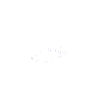 CS(=O)(=O)N[C@H]1CCN2CCOc3ccccc3C3CCC(CC3)OCC12